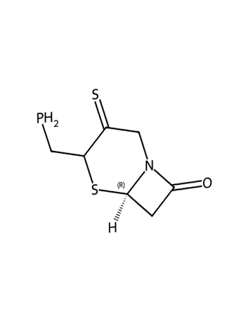 O=C1C[C@H]2SC(CP)C(=S)CN12